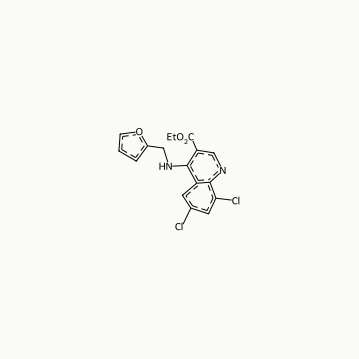 CCOC(=O)c1cnc2c(Cl)cc(Cl)cc2c1NCc1ccco1